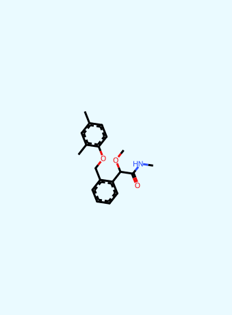 CNC(=O)C(OC)c1ccccc1COc1ccc(C)cc1C